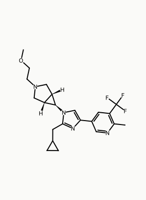 COCCN1C[C@@H]2[C@H](C1)[C@H]2n1cc(-c2cnc(C)c(C(F)(F)F)c2)nc1CC1CC1